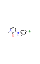 Cn1cccc(N2CCc3cc(Br)ccc32)c1=O